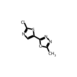 Cc1nnc(-c2cnc(Cl)s2)o1